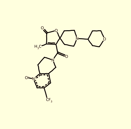 CC1=C(C(=O)N2CCc3c(cc(C(F)(F)F)c[n+]3[O-])C2)C2(CCN(C3CCOCC3)CC2)OC1=O